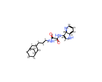 O=C(NCCCC1CC2CCCC(C1)C2)C(=O)Nc1c[nH]c2cccnc12